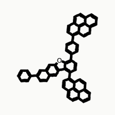 c1ccc(-c2ccc3cc4c(cc3c2)oc2c(-c3ccc(-c5ccc6ccc7cccc8ccc5c6c78)cc3)ccc(-c3ccc5ccc6cccc7ccc3c5c67)c24)cc1